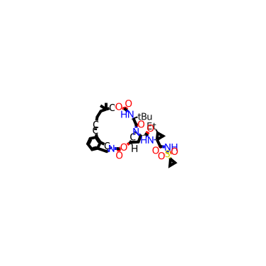 CC[C@H]1C[C@@]1(NC(=O)[C@@H]1C[C@@H]2CN1C(=O)[C@H](C(C)(C)C)NC(=O)OCC(C)(C)CCCCc1cccc3c1CN(C3)C(=O)O2)C(=O)NS(=O)(=O)C1CC1